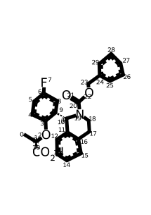 C[C@@H](Oc1ccc(F)cc1[C@H]1c2ccccc2CCN1C(=O)OCc1ccccc1)C(=O)O